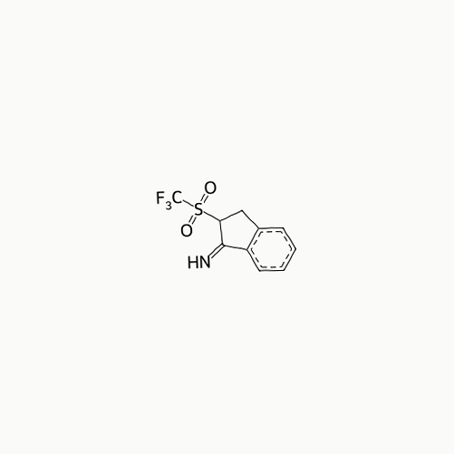 N=C1c2ccccc2CC1S(=O)(=O)C(F)(F)F